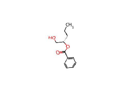 CCC[C@@H](CO)OC(=O)c1ccccc1